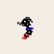 CC1(C)CCC(C)(C)c2cc(-c3nc4cc(OC(=O)O)ccc4[nH]3)ccc21